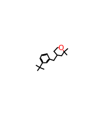 CC1(C)CC(Cc2cccc(C(C)(C)C)c2)CCO1